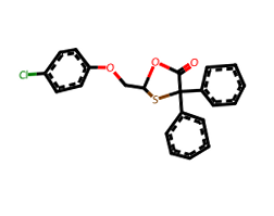 O=C1OC(COc2ccc(Cl)cc2)SC1(c1ccccc1)c1ccccc1